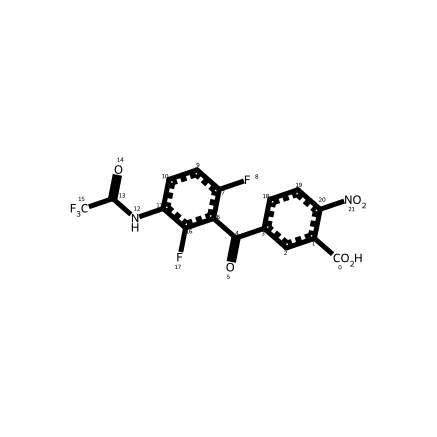 O=C(O)c1cc(C(=O)c2c(F)ccc(NC(=O)C(F)(F)F)c2F)ccc1[N+](=O)[O-]